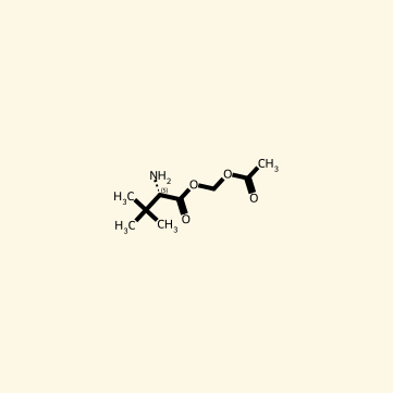 CC(=O)OCOC(=O)[C@@H](N)C(C)(C)C